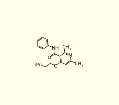 Cc1cc(OCCC(C)C)c(C(=O)Nc2ccccc2)c(C)n1